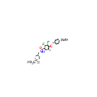 CCC1(C(=O)O)CCC(CNC(=O)c2cc(F)c(OCc3ccc(OC)cc3)c(F)c2F)CC1